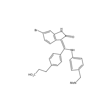 CNCc1ccc(N/C(=C2\C(=O)Nc3cc(Br)ccc32)c2ccc(CCC(=O)O)cc2)cc1